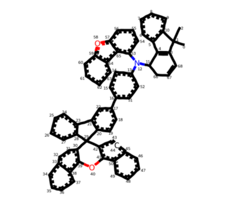 CC1(C)C2=C(c3ccccc31)C(N(c1ccc(-c3ccc4c(c3)-c3ccccc3C43c4ccc5ccccc5c4Oc4c3ccc3ccccc43)cc1)c1cccc3oc4ccccc4c13)CC=C2